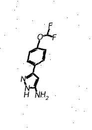 Nc1cc(-c2ccc(OC(F)F)cc2)n[nH]1